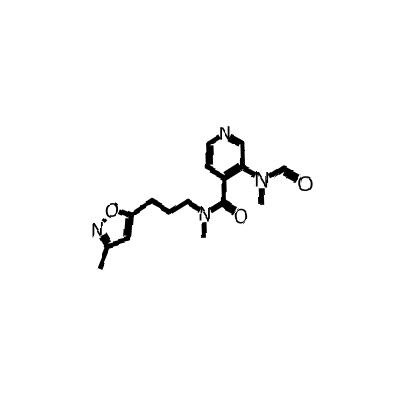 Cc1cc(CCCN(C)C(=O)c2ccncc2N(C)C=O)on1